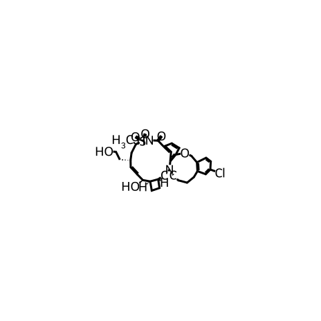 C[C@@H]1C[C@@H](CCO)/C=C/[C@H](O)[C@@H]2CC[C@H]2CN2CCCCc3cc(Cl)ccc3COc3ccc(cc32)C(=O)NS1(=O)=O